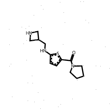 O=C(c1ccc(NCC2CNC2)s1)N1CCCC1